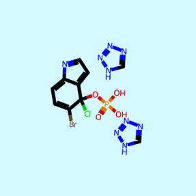 O=P(O)(O)OC1(Cl)C(Br)=CC=C2N=CC=C21.c1nnn[nH]1.c1nnn[nH]1